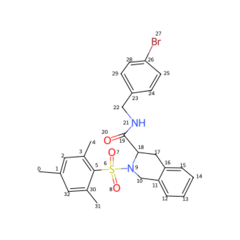 Cc1cc(C)c(S(=O)(=O)N2Cc3ccccc3CC2C(=O)NCc2ccc(Br)cc2)c(C)c1